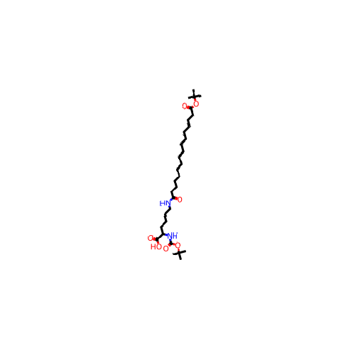 CC(C)(C)OC(=O)CCCCCCCCCCCCCCC(=O)NCCCCC(NC(=O)OC(C)(C)C)C(=O)O